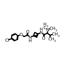 CC(C)C(C(=O)NC12CC(NC(=O)COc3ccc(Cl)cc3)(C1)C2)N(C)C